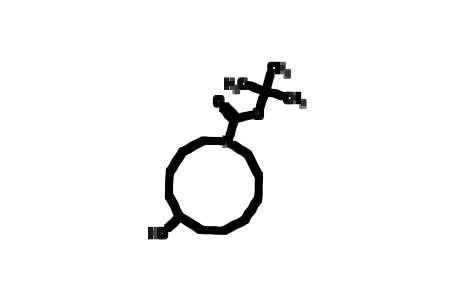 CC(C)(C)OC(=O)N1CCCCCCC(O)CCCC1